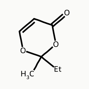 CCC1(C)OC=CC(=O)O1